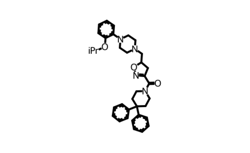 CC(C)Oc1ccccc1N1CCN(CC2CC(C(=O)N3CCC(c4ccccc4)(c4ccccc4)CC3)=NO2)CC1